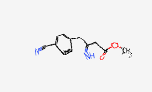 COC(=O)CC(=N)Cc1ccc(C#N)cc1